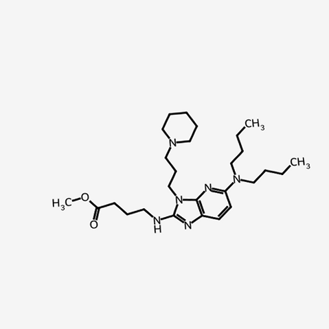 CCCCN(CCCC)c1ccc2nc(NCCCC(=O)OC)n(CCCN3CCCCC3)c2n1